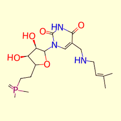 C=P(C)(C)CCC1OC(n2cc(CNCC=C(C)C)c(=O)[nH]c2=O)[C@H](O)[C@@H]1O